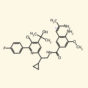 COc1cc(C(=O)NCC(c2cc(C(C)(C)O)c(Cl)c(-c3ccc(F)cc3)n2)C2CC2)cc(/C=C(/C)N)c1N